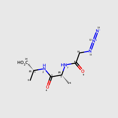 C[C@@H](NC(=O)[C@@H](C)NC(=O)CN=[N+]=[N-])C(=O)O